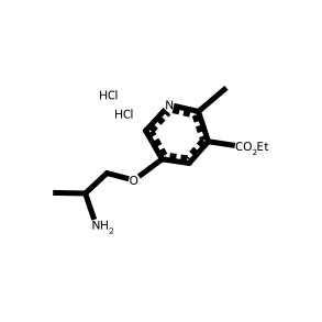 CCOC(=O)c1cc(OCC(C)N)cnc1C.Cl.Cl